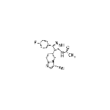 CC(=O)Nc1[nH]nc(-c2ccc(F)cc2)c1-c1ccc2ncc(C#N)n2c1